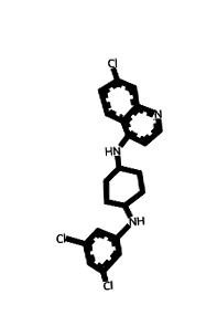 Clc1cc(Cl)cc(NC2CCC(Nc3ccnc4cc(Cl)ccc34)CC2)c1